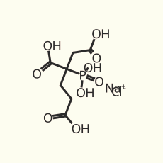 O=C(O)CCC(CC(=O)O)(C(=O)O)P(=O)(O)O.[Cl-].[Na+]